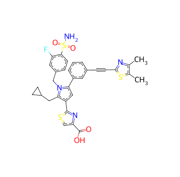 Cc1nc(C#Cc2cccc(-c3cc(-c4nc(C(=O)O)cs4)c(CC4CC4)n3Cc3ccc(S(N)(=O)=O)c(F)c3)c2)sc1C